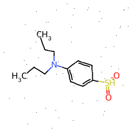 CCCN(CCC)c1ccc([SH](=O)=O)cc1